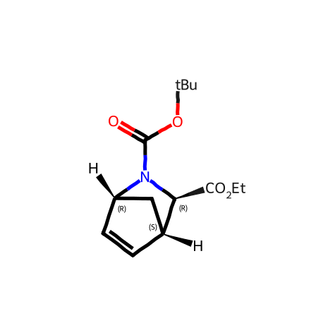 CCOC(=O)[C@H]1[C@@H]2C=C[C@@H](C2)N1C(=O)OC(C)(C)C